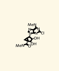 CNC(=O)[C@@]12CC1[C@@H](n1cnc3c(NC)nc(Cl)nc31)[C@H](O)[C@@H]2O